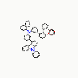 c1ccc(-c2ccccc2-c2c(-c3ccccc3)cccc2-c2cccc(N(c3cccc(-c4cccc5c4c4ccccc4n5-c4ccccc4)c3)c3cccc4ccccc34)c2)cc1